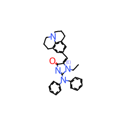 CCN1C(N(c2ccccc2)c2ccccc2)=NC(=O)/C1=C\c1cc2c3c(c1)CCCN3CCC2